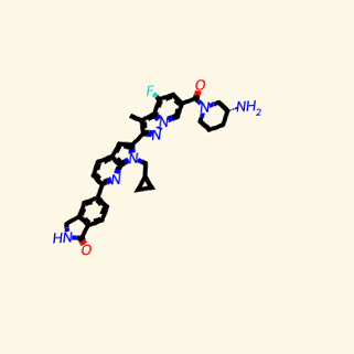 Cc1c(-c2cc3ccc(-c4ccc5c(c4)CNC5=O)nc3n2CC2CC2)nn2cc(C(=O)N3CCC[C@@H](N)C3)cc(F)c12